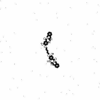 COc1cc2c(cc1OCCCCCOc1cc3c(cc1OC)C(=O)N1Cc4ccccc4C[C@H]1CN3)N=C[C@@H]1Cc3ccccc3CN1C2=O